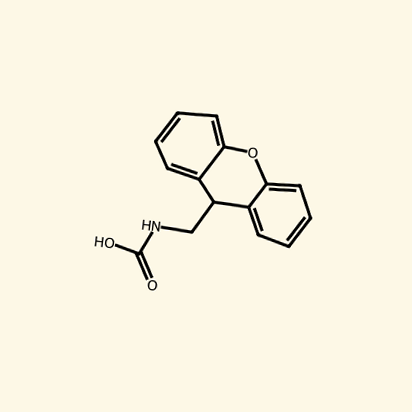 O=C(O)NCC1c2ccccc2Oc2ccccc21